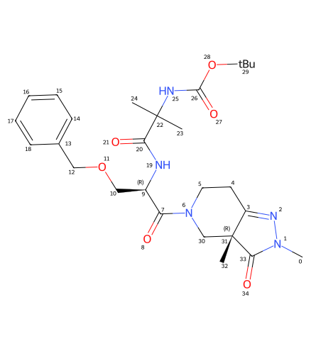 CN1N=C2CCN(C(=O)[C@@H](COCc3ccccc3)NC(=O)C(C)(C)NC(=O)OC(C)(C)C)C[C@@]2(C)C1=O